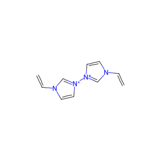 C=Cn1cc[n+](-[n+]2ccn(C=C)c2)c1